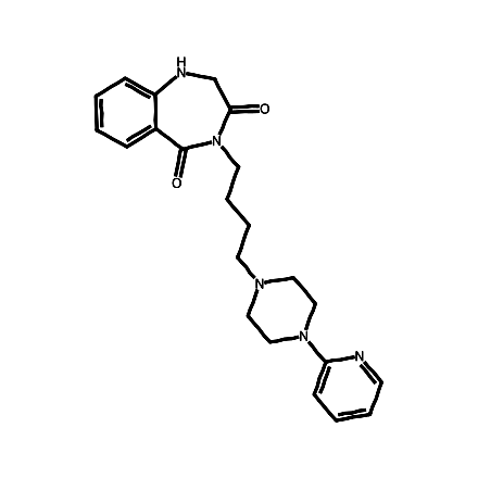 O=C1CNc2ccccc2C(=O)N1CCCCN1CCN(c2ccccn2)CC1